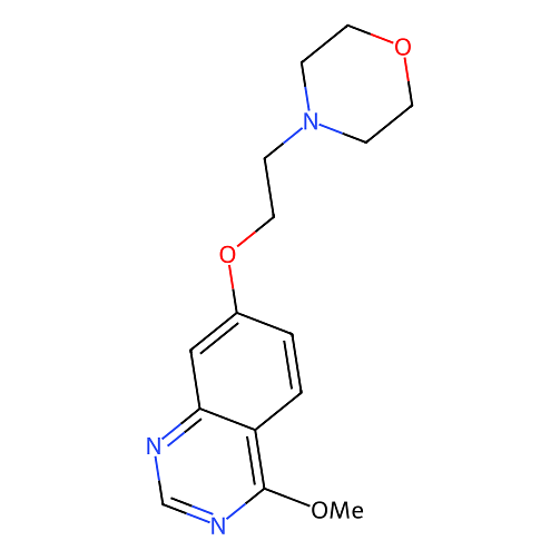 COc1ncnc2cc(OCCN3CCOCC3)ccc12